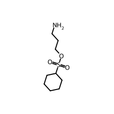 NCCCOS(=O)(=O)C1CCCCC1